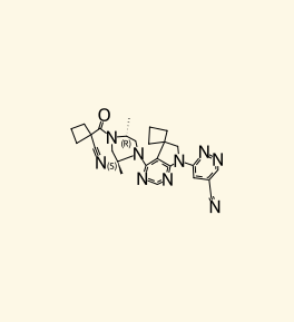 C[C@@H]1CN(c2ncnc3c2C2(CCC2)CN3c2cc(C#N)cnn2)[C@@H](C)CN1C(=O)C1(C#N)CCC1